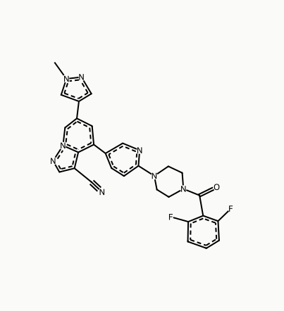 Cn1cc(-c2cc(-c3ccc(N4CCN(C(=O)c5c(F)cccc5F)CC4)nc3)c3c(C#N)cnn3c2)cn1